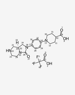 O=C(O)C(F)(F)F.O=C(O)C1CCN(c2ccc(N3C[C@@H]4CNCCN4C3=O)cc2)CC1